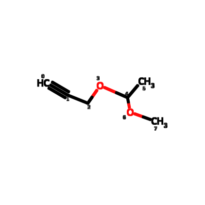 C#CCOC(C)OC